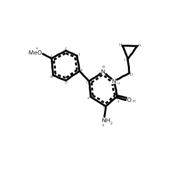 COc1ccc(-c2cc(N)c(=O)n(CC3CC3)n2)cc1